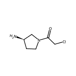 N[C@@H]1CCN(C(=O)CCl)C1